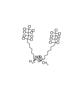 C[Si](C)(CCCCCCCC(Cl)(Cl)C(Cl)(Cl)C(Cl)(Cl)C(Cl)(Cl)Cl)O[Si](C)(C)CCCCCCCC(Cl)(Cl)C(Cl)(Cl)C(Cl)(Cl)C(Cl)(Cl)Cl